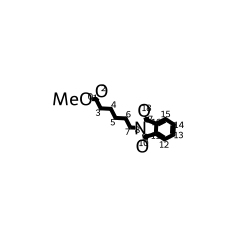 COC(=O)CCCCCN1C(=O)c2ccccc2C1=O